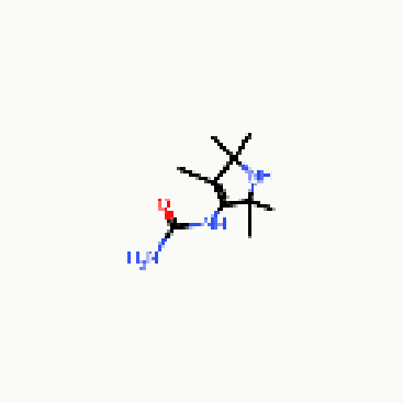 CC1=C(NC(N)=O)C(C)(C)NC1(C)C